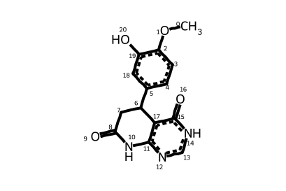 COc1ccc(C2CC(=O)Nc3nc[nH]c(=O)c32)cc1O